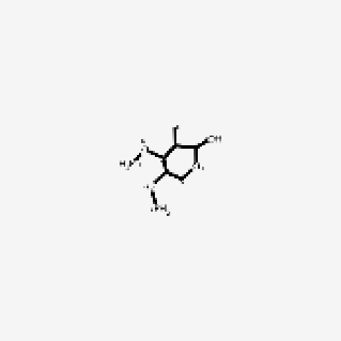 CC1C(O)OCC(OP)C1OP